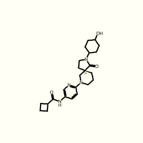 O=C(Nc1ccc(N2CCC[C@]3(CCN(C4CCC(O)CC4)C3=O)C2)nc1)C1CCC1